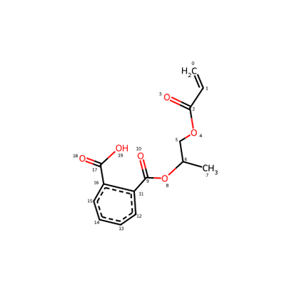 C=CC(=O)OCC(C)OC(=O)c1ccccc1C(=O)O